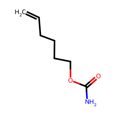 C=CCCCCOC(N)=O